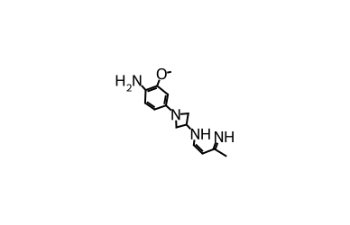 COc1cc(N2CC(N/C=C\C(C)=N)C2)ccc1N